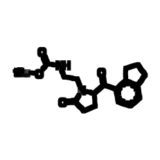 CC(C)(C)OC(=O)NCCN1C(=O)CCC1C(=O)c1cccc2c1CCC2